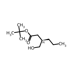 CCC[C@@H](CO)CC(=O)OC(C)(C)C